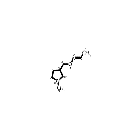 C/C=N/OCC1CCN(C)C1